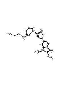 Cc1[nH]c2ccc(-c3cc(-c4cccc(OCCF)c4)[nH]n3)cc2c1C